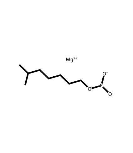 CC(C)CCCCCOP([O-])[O-].[Mg+2]